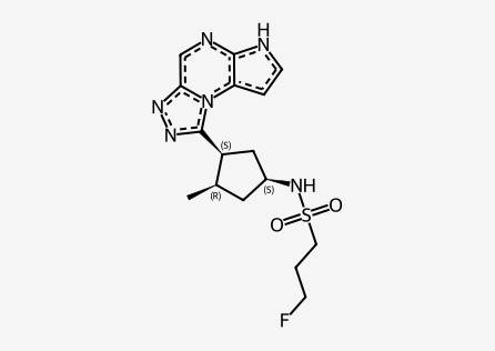 C[C@@H]1C[C@H](NS(=O)(=O)CCCF)C[C@@H]1c1nnc2cnc3[nH]ccc3n12